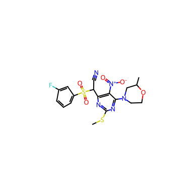 CSc1nc(C(C#N)S(=O)(=O)c2cccc(F)c2)c([N+](=O)[O-])c(N2CCOC(C)C2)n1